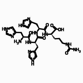 NC(=O)NCCC[C@H](NC(=O)[C@H](Cc1c[nH]cn1)NC(=O)[C@H](Cc1c[nH]cn1)NC(=O)[C@@H](N)Cc1c[nH]cn1)C(=O)O